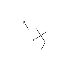 FCCC(F)(F)CF